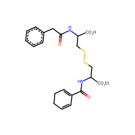 CCOC(=O)C(CSSCC(NC(=O)Cc1ccccc1)C(=O)O)NC(=O)C1=CCCC=C1